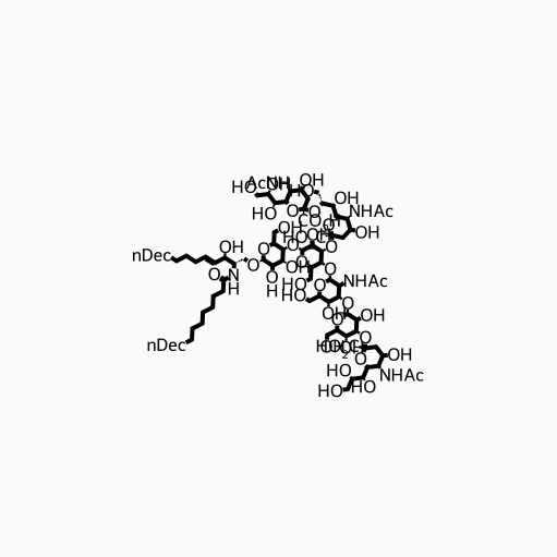 CCCCCCCCCCCCC/C=C/[C@@H](O)[C@H](CO[C@@H]1OC(CO)[C@@H](O[C@@H]2OC(CO)[C@H](O[C@@H]3OC(CO)[C@H](O)[C@H](O[C@@H]4OC(CO)[C@H](O)[C@H](O[C@]5(C(=O)O)CC(O)[C@@H](NC(C)=O)C([C@H](O)[C@H](O)CO)O5)C4O)C3NC(C)=O)[C@H](O[C@]3(C(=O)O)CC(O)[C@@H](NC(C)=O)C([C@H](O)[C@@H](CO)O[C@]4(C(=O)O)CC(O)[C@@H](NC(C)=O)C([C@H](O)[C@H](O)CO)O4)O3)C2O)[C@H](O)C1O)NC(=O)CCCCCCCCCCCCCCCCC